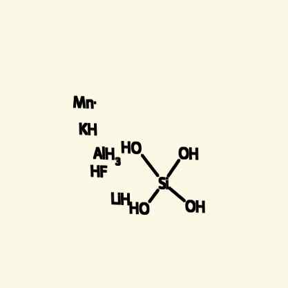 F.O[Si](O)(O)O.[AlH3].[KH].[LiH].[Mn]